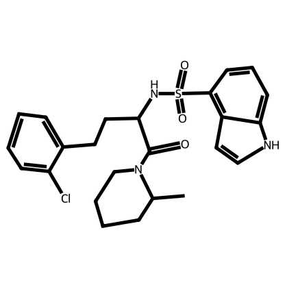 CC1CCCCN1C(=O)C(CCc1ccccc1Cl)NS(=O)(=O)c1cccc2[nH]ccc12